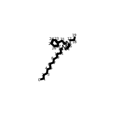 CCCCCCCCCCCCC[n+]1ccn(CCC)c1Cc1ccccc1